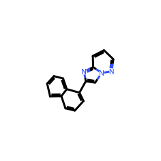 c1ccc2c(-c3cn4ncccc4n3)cccc2c1